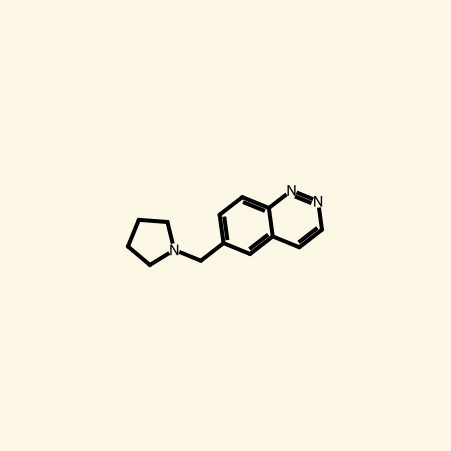 c1cc2cc(CN3CCCC3)ccc2nn1